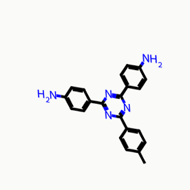 Cc1ccc(-c2nc(-c3ccc(N)cc3)nc(-c3ccc(N)cc3)n2)cc1